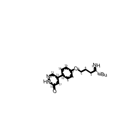 CC[C@@H](C)C(=N)CCCOc1ccc(-c2cn[nH]c(=O)c2)cc1